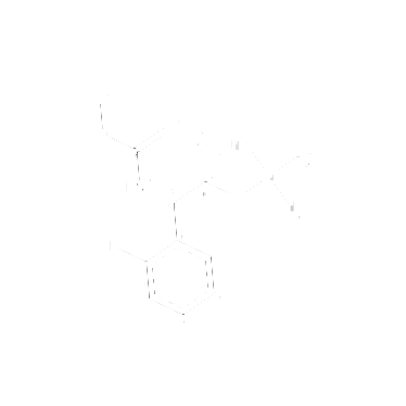 CC(C)OC(=O)N[C@@H](c1ccccc1F)[C@@H](O[Si](C(C)C)(C(C)C)C(C)C)C(=O)O